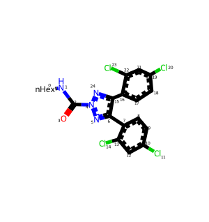 CCCCCCNC(=O)n1nc(-c2ccc(Cl)cc2Cl)c(-c2ccc(Cl)cc2Cl)n1